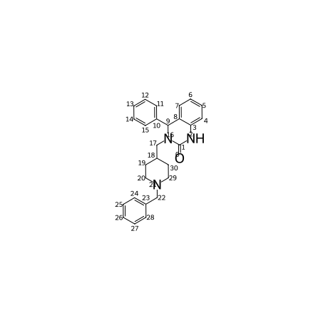 O=C1Nc2ccccc2C(c2ccccc2)N1CC1CCN(Cc2ccccc2)CC1